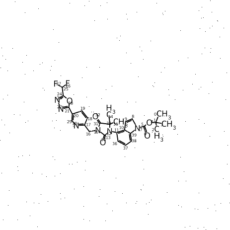 CC(C)(C)OC(=O)n1ccc2c(N3C(=O)N(Cc4ccc(-c5nnc(C(F)F)o5)cn4)C(=O)C3(C)C)cccc21